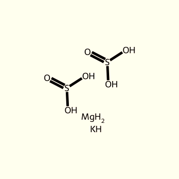 O=S(O)O.O=S(O)O.[KH].[MgH2]